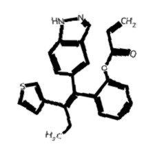 C=CC(=O)Oc1ccccc1/C(=C(\CC)c1ccsc1)c1ccc2[nH]ncc2c1